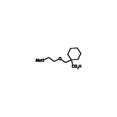 COCCOCC1(C(=O)O)CCCCC1